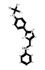 FC(F)(F)Oc1ccc(-c2ncc(CNc3ccccc3)s2)cc1